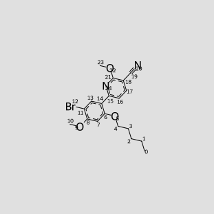 CCCCCOc1cc(OC)c(Br)cc1-c1ccc(C#N)c(OC)n1